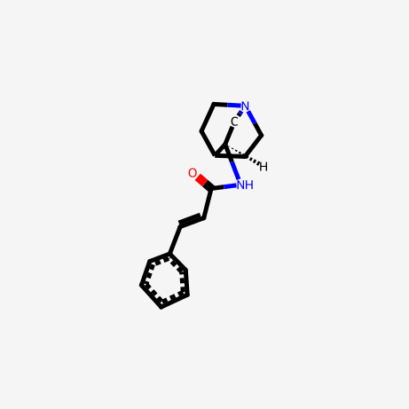 O=C(C=Cc1ccccc1)N[C@@H]1CN2CCC1CC2